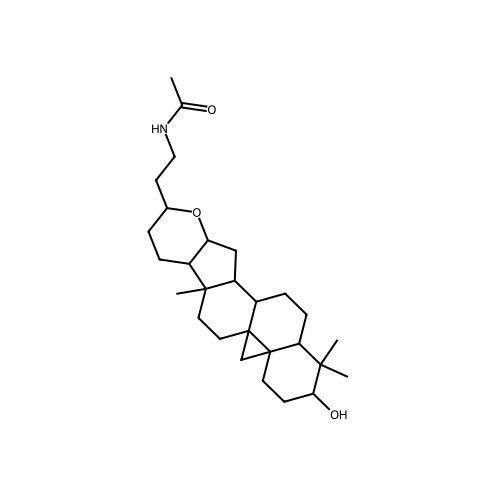 CC(=O)NCCC1CCC2C(CC3C4CCC5C(C)(C)C(O)CCC56CC46CCC23C)O1